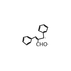 O=[C]C([CH]c1ccccc1)=Cc1ccccc1